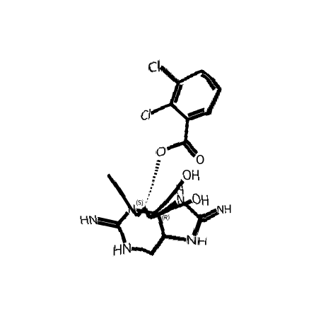 CC1[C@H](OC(=O)c2cccc(Cl)c2Cl)C(O)(O)[C@@]23NC(=N)NC2CNC(=N)N13